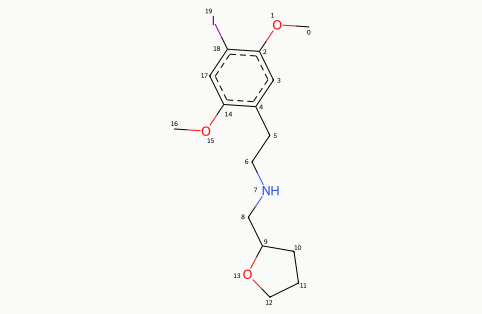 COc1cc(CCNCC2CCCO2)c(OC)cc1I